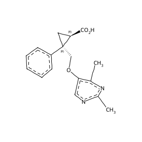 Cc1ncc(OC[C@]2(c3ccccc3)C[C@H]2C(=O)O)c(C)n1